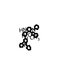 CC1(C)c2ccccc2-c2c1c1c3c(ccc1n2-c1ccccc1)[nH]c1ccc(-c2ccc4c(c2)c2ccccc2n4-c2ccccc2)cc13